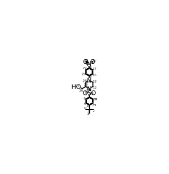 CC(C)(C)c1ccc(S(=O)(=O)N2CCN(c3ccc([N+](=O)[O-])cc3)CC2CO)cc1